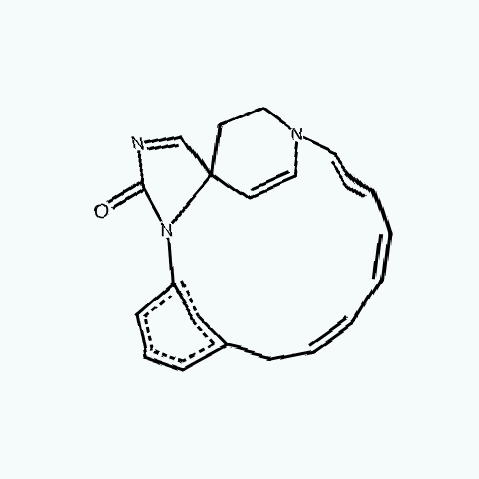 O=C1N=CC23C=CN(\C=C/C=C\C=C/Cc4cccc(c4)N12)CC3